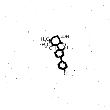 CCc1cc(-c2ccc(Cl)cc2)ccc1C1=C(O)C(C)(C)CC[C@H](O)C1=O